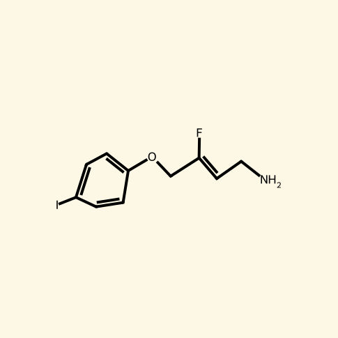 NC/C=C(\F)COc1ccc(I)cc1